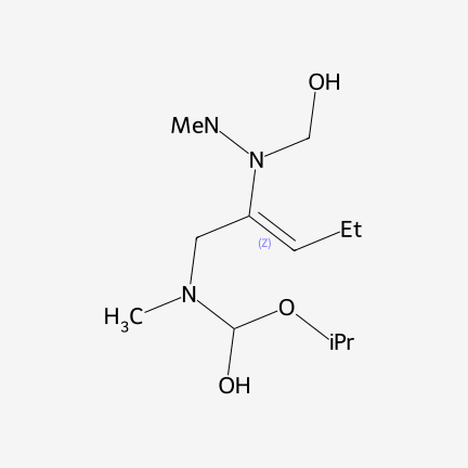 CC/C=C(/CN(C)C(O)OC(C)C)N(CO)NC